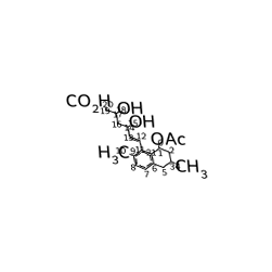 CC(=O)OC1CC(C)Cc2ccc(C)c(/C=C/C(O)CC(O)CC(=O)O)c21